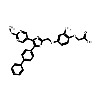 COc1ncc(-c2nc(COc3ccc(OCC(=O)O)c(C)c3)sc2-c2ccc(-c3ccccc3)cc2)cn1